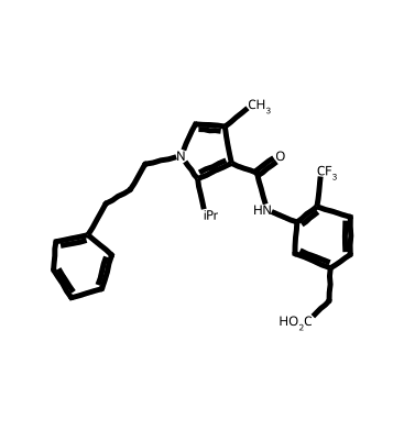 Cc1cn(CCCc2ccccc2)c(C(C)C)c1C(=O)Nc1cc(CC(=O)O)ccc1C(F)(F)F